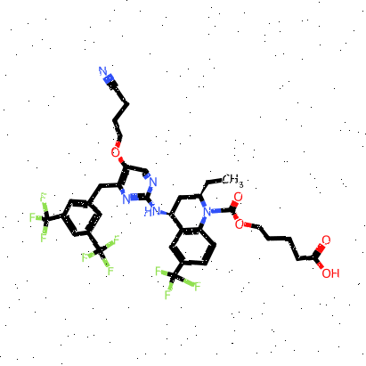 CC[C@@H]1C[C@H](Nc2ncc(OCCCC#N)c(Cc3cc(C(F)(F)F)cc(C(F)(F)F)c3)n2)c2cc(C(F)(F)F)ccc2N1C(=O)OCCCCC(=O)O